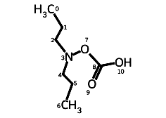 CCCN(CCC)OC(=O)O